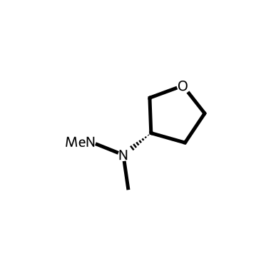 CNN(C)[C@H]1CCOC1